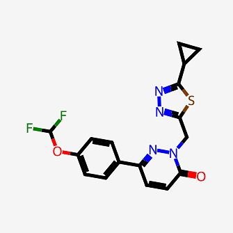 O=c1ccc(-c2ccc(OC(F)F)cc2)nn1Cc1nnc(C2CC2)s1